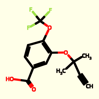 C#CC(C)(C)Oc1cc(C(=O)O)ccc1OC(F)(F)F